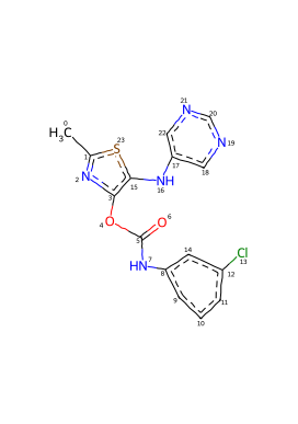 Cc1nc(OC(=O)Nc2cccc(Cl)c2)c(Nc2cncnc2)s1